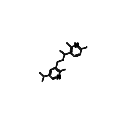 Cc1ccc(C(C)CCc2cc(C(C)C)cnc2C)c(C)n1